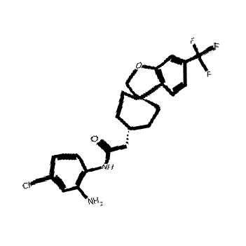 Nc1cc(Cl)ccc1NC(=O)C[C@H]1CC[C@@]2(CC1)COc1cc(C(F)(F)F)ccc12